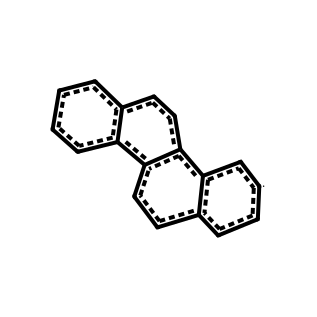 [c]1ccc2ccc3c4ccccc4ccc3c2c1